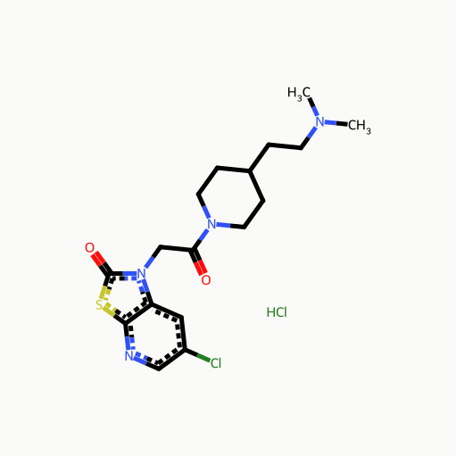 CN(C)CCC1CCN(C(=O)Cn2c(=O)sc3ncc(Cl)cc32)CC1.Cl